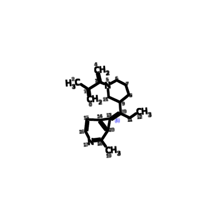 C=C(C)C(=C)N1CCCC(/C(CC)=C2\c3ccnc(C)c32)C1